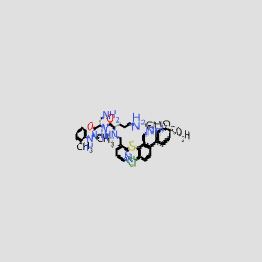 Cc1ccccc1NN(C)C(=O)[C@H](CN)NC(=O)[C@H](CCCN)NCc1cccnc1Sc1c(Cl)ccc(-c2ccc(C(=O)O)cc2)c1CNC=O